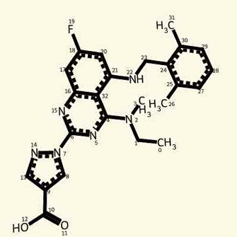 CCN(C)c1nc(-n2cc(C(=O)O)cn2)nc2cc(F)cc(NCc3c(C)cccc3C)c12